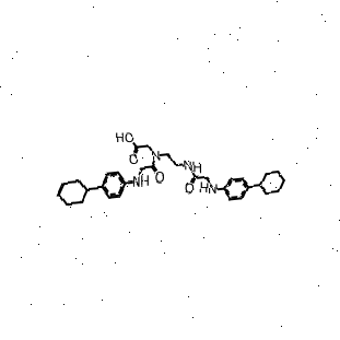 O=C(O)CN(CCNC(=O)CNc1ccc(C2CCCCC2)cc1)C(=O)CNc1ccc(C2CCCCC2)cc1